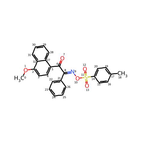 COc1ccc(C(=O)/C(=N/OS(=O)(=O)c2ccc(C)cc2)c2ccccc2)c2ccccc12